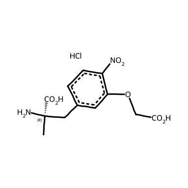 C[C@@](N)(Cc1ccc([N+](=O)[O-])c(OCC(=O)O)c1)C(=O)O.Cl